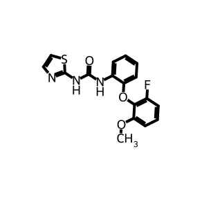 COc1cccc(F)c1Oc1ccccc1NC(=O)Nc1nccs1